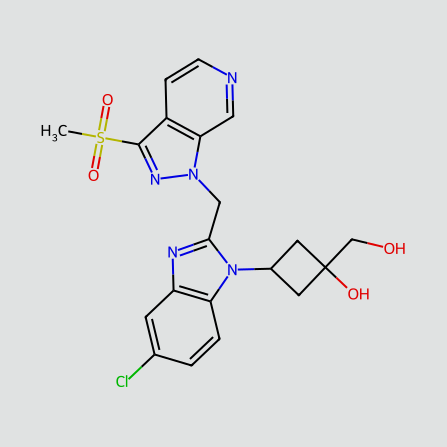 CS(=O)(=O)c1nn(Cc2nc3cc(Cl)ccc3n2C2CC(O)(CO)C2)c2cnccc12